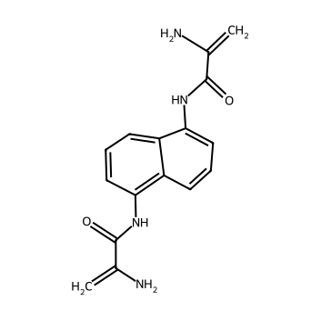 C=C(N)C(=O)Nc1cccc2c(NC(=O)C(=C)N)cccc12